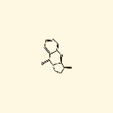 C=C1CCn2c1nc1ccccc1c2=O